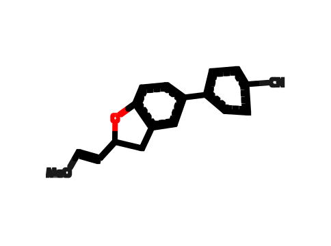 COC=CC1Cc2cc(-c3ccc(C#N)cc3)ccc2O1